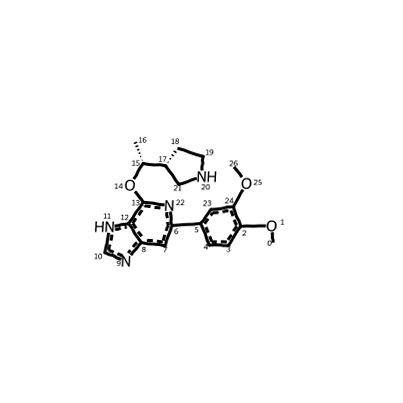 COc1ccc(-c2cc3nc[nH]c3c(O[C@H](C)[C@@H]3CCNC3)n2)cc1OC